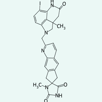 CN1C(=O)NC(=O)C12Cc1cc3ccc(CN4CC5(C)CC(=O)Nc6c(I)ccc4c65)nc3cc1C2